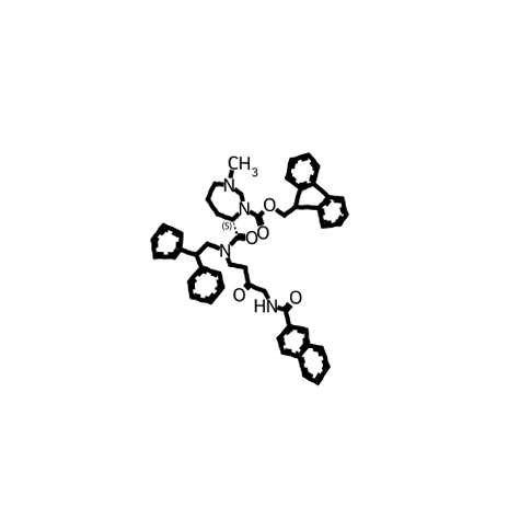 CN1CCC[C@@H](C(=O)N(CCC(=O)CNC(=O)c2ccc3ccccc3c2)CC(c2ccccc2)c2ccccc2)N(C(=O)OCC2c3ccccc3-c3ccccc32)C1